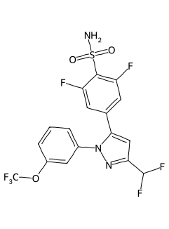 NS(=O)(=O)c1c(F)cc(-c2cc(C(F)F)nn2-c2cccc(OC(F)(F)F)c2)cc1F